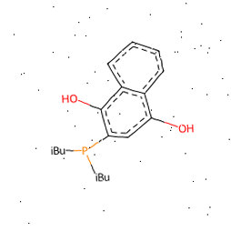 CCC(C)P(c1cc(O)c2ccccc2c1O)C(C)CC